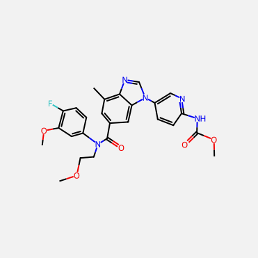 COCCN(C(=O)c1cc(C)c2ncn(-c3ccc(NC(=O)OC)nc3)c2c1)c1ccc(F)c(OC)c1